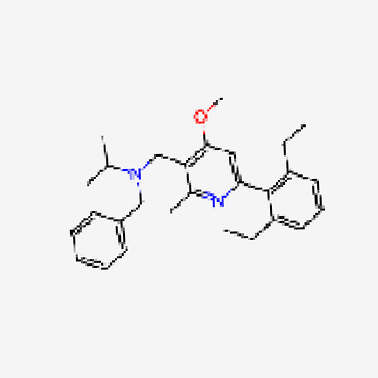 CCc1cccc(CC)c1-c1cc(OC)c(CN(Cc2ccccc2)C(C)C)c(C)n1